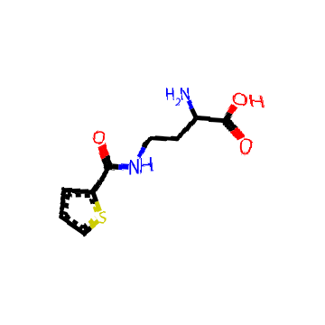 NC(CCNC(=O)c1cccs1)C(=O)O